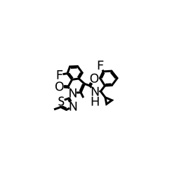 Cc1cnc(-n2c(C)c(C(=O)N[C@H](c3cccc(F)c3)C3CC3)c3cccc(F)c3c2=O)s1